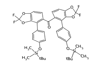 CC(C)(C)[Si](C)(C)Oc1ccc(-c2c(C(=O)c3ccc4c(c3-c3ccc(O[Si](C)(C)C(C)(C)C)cc3)OC(F)(F)O4)ccc3c2OC(F)(F)O3)cc1